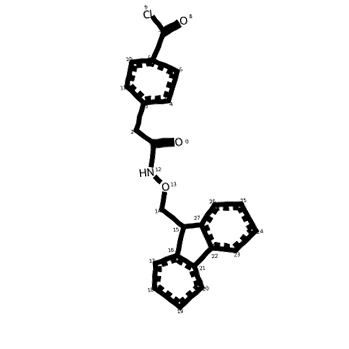 O=C(Cc1ccc(C(=O)Cl)cc1)NOCC1c2ccccc2-c2ccccc21